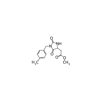 COC(=O)CC1NC(=O)N(Cc2ccc(C)cc2)C1=O